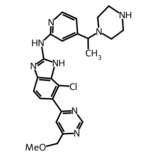 COCc1cc(-c2ccc3nc(Nc4cc(C(C)N5CCNCC5)ccn4)[nH]c3c2Cl)ncn1